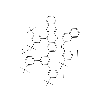 CC(C)(C)c1cc(-c2cc(-c3cc4c5c(c3)N(c3cc(C(C)(C)C)cc(C(C)(C)C)c3)c3cc6ccccc6cc3B5c3cc5ccccc5cc3N4c3cc(C(C)(C)C)cc(C(C)(C)C)c3)cc(-c3cc(C(C)(C)C)cc(C(C)(C)C)c3)n2)cc(C(C)(C)C)c1